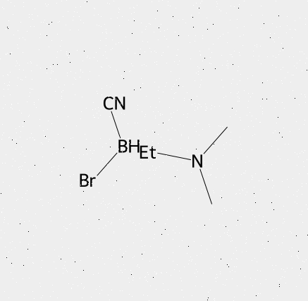 CCN(C)C.N#CBBr